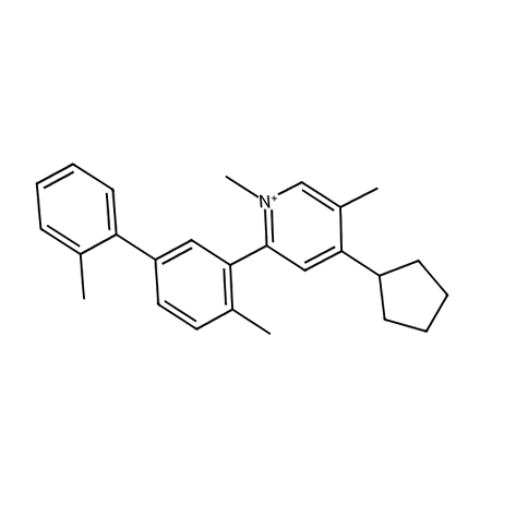 Cc1ccccc1-c1ccc(C)c(-c2cc(C3CCCC3)c(C)c[n+]2C)c1